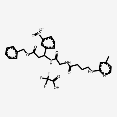 Cc1ccnc(NCCCC(=O)NCC(=O)NC(CC(=O)OCc2ccccc2)c2cccc([N+](=O)[O-])c2)c1.O=C(O)C(F)(F)F